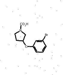 O=C(O)N1CCC(Oc2cccc(Br)c2)C1